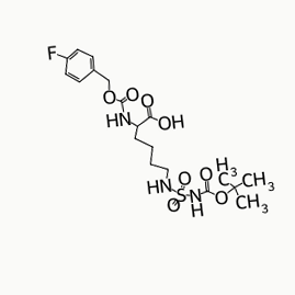 CC(C)(C)OC(=O)NS(=O)(=O)NCCCCC(NC(=O)OCc1ccc(F)cc1)C(=O)O